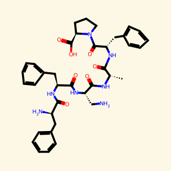 C[C@H](NC(=O)[C@H](CN)NC(=O)[C@H](Cc1ccccc1)NC(=O)[C@H](N)Cc1ccccc1)C(=O)N[C@@H](Cc1ccccc1)C(=O)N1CCC[C@@H]1C(=O)O